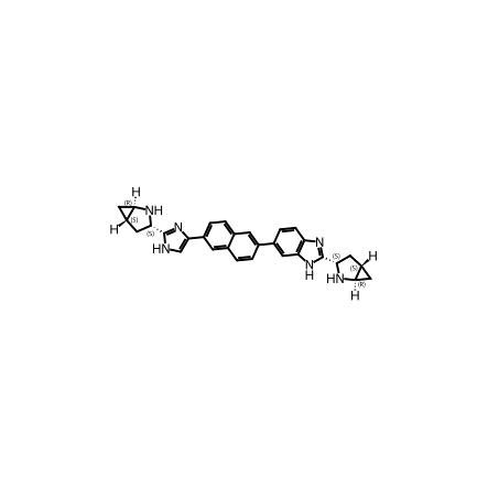 c1cc2cc(-c3c[nH]c([C@@H]4C[C@@H]5C[C@H]5N4)n3)ccc2cc1-c1ccc2nc([C@@H]3C[C@@H]4C[C@H]4N3)[nH]c2c1